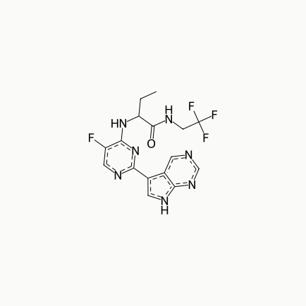 CCC(Nc1nc(-c2c[nH]c3ncncc23)ncc1F)C(=O)NCC(F)(F)F